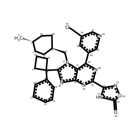 C[C@H]1CC[C@H](Cn2c(C3(c4ccccc4)CCC3)nc3nc(-c4noc(=O)[nH]4)nc(-c4cncc(Cl)c4)c32)CC1